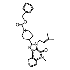 CC(C)=CCn1c(C2CCN(C(=O)OCc3ccccc3)CC2)nc2c3ccccc3n(C)c(=O)c21